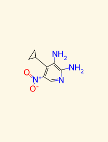 Nc1ncc([N+](=O)[O-])c(C2CC2)c1N